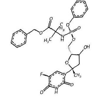 CC(C)(NP(=O)(OC[C@H]1O[C@@](C)(n2cc(F)c(=O)[nH]c2=O)CC1O)Oc1ccccc1)C(=O)OCc1ccccc1